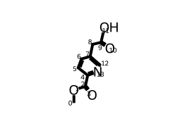 COC(=O)c1ccc(CC(=O)O)cn1